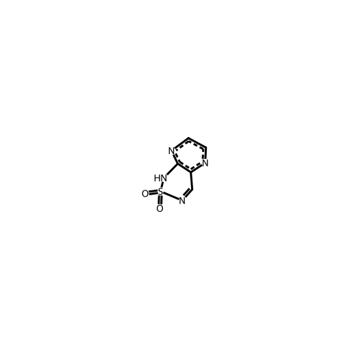 O=S1(=O)N=Cc2nccnc2N1